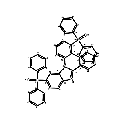 O=P(c1ccccc1)(c1ccccc1)c1ccc2nc3c4ccccc4c4c(P(=O)(c5ccccc5)c5ccccc5)cccc4n3c2c1